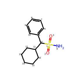 NS(=O)(=O)C(c1ccccc1)C1CCCCC1